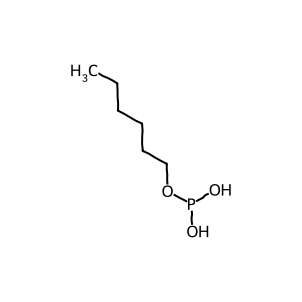 CCCCCCOP(O)O